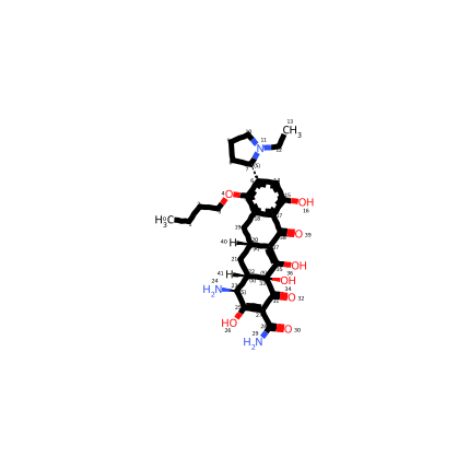 CCCCOc1c([C@@H]2CCCN2CC)cc(O)c2c1C[C@H]1C[C@H]3[C@H](N)C(O)=C(C(N)=O)C(=O)[C@@]3(O)C(O)=C1C2=O